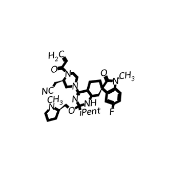 C=CC(=O)N1CCN(C2=NC(OC[C@H]3CCCN3C)(C(C)CCC)NC3C[C@@]4(CCC23)C(=O)N(C)c2ccc(F)cc24)C[C@H]1CC#N